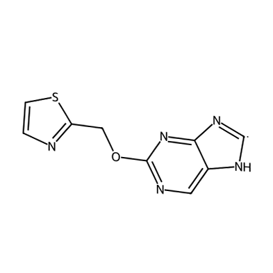 [c]1nc2nc(OCc3nccs3)ncc2[nH]1